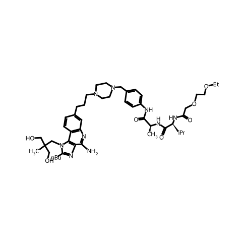 CCCCc1nc2c(N)nc3cc(CCCN4CCN(Cc5ccc(NC(=O)[C@H](C)NC(=O)[C@@H](NC(=O)COCCOCC)C(C)C)cc5)CC4)ccc3c2n1CC(C)(CO)CO